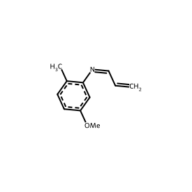 C=C/C=N\c1cc(OC)ccc1C